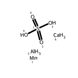 O=S(=O)(O)O.[AlH3].[CaH2].[Mn]